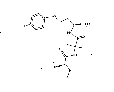 CCOC(=O)[C@H](CCOc1ccc(F)cc1)NC(=O)C(C)(C)NC(=O)[C@@H](SC(C)=O)C(C)C